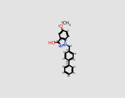 COc1ccc2c(c1)c(O)nn2Cc1ccc(-c2ccccc2)cc1